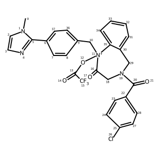 Cn1ccnc1-c1ccc(C[N+]2(OC(=O)C(F)(F)F)C(=O)CN(C(=O)c3ccc(Cl)cc3)Cc3ccccc32)cc1